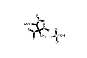 COC(N(F)F)C(N)(N(F)F)N(F)F.[O-][Cl+3]([O-])([O-])O